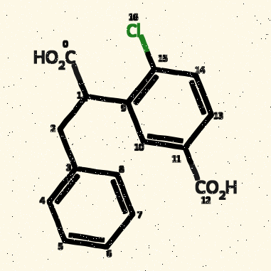 O=C(O)[C](Cc1ccccc1)c1cc(C(=O)O)ccc1Cl